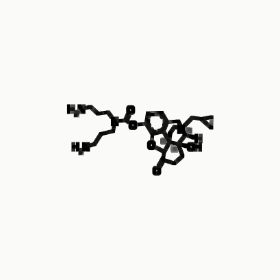 NCCCN(CCCN)C(=O)Oc1ccc2c3c1OC1C(=O)CC[C@@]4(O)[C@@H](C2)N(CC2CC2)CC[C@]314